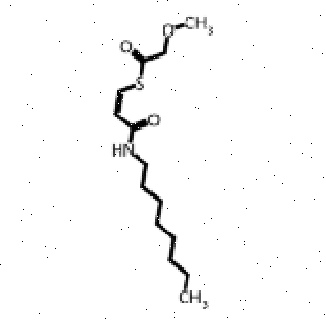 CCCCCCCCNC(=O)/C=C\SC(=O)COC